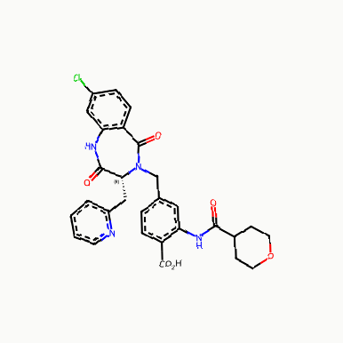 O=C(O)c1ccc(CN2C(=O)c3ccc(Cl)cc3NC(=O)[C@H]2Cc2ccccn2)cc1NC(=O)C1CCOCC1